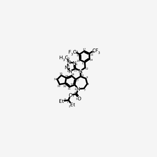 CCC(CC)OC(=O)N1CCCC(N(Cc2cc(C(F)(F)F)cc(C(F)(F)F)c2)c2nnn(C)n2)c2cc3c(cc21)CCC3